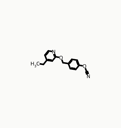 CCc1ccnc(OCc2ccc(OC#N)cc2)c1